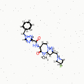 CN1C(=O)C(NC(=O)c2ncn(Cc3ccccc3)n2)CCN2N=C(CN3CC(F)C3)CC21